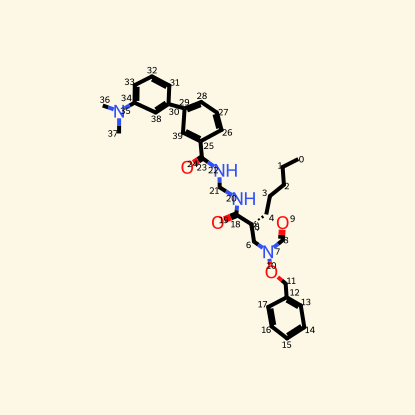 CCCCC[C@H](CN(C=O)OCc1ccccc1)C(=O)NCNC(=O)c1cccc(-c2cccc(N(C)C)c2)c1